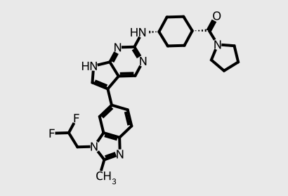 Cc1nc2ccc(-c3c[nH]c4nc(N[C@H]5CC[C@@H](C(=O)N6CCCC6)CC5)ncc34)cc2n1CC(F)F